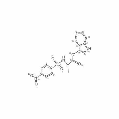 C[C@H](NS(=O)(=O)c1ccc([N+](=O)[O-])cc1)C(=O)Oc1c[nH]c2ccccc12